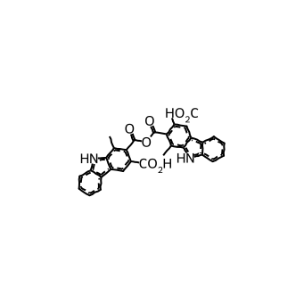 Cc1c(C(=O)OC(=O)c2c(C(=O)O)cc3c([nH]c4ccccc43)c2C)c(C(=O)O)cc2c1[nH]c1ccccc12